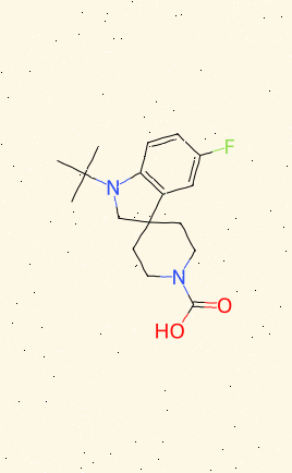 CC(C)(C)N1CC2(CCN(C(=O)O)CC2)c2cc(F)ccc21